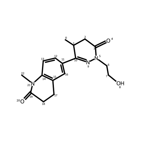 CC1CC(=O)N(CCO)N=C1c1ccc2c(c1)CCC(=O)N2C